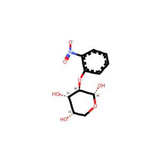 O=[N+]([O-])c1ccccc1O[C@@H]1[C@@H](O)[C@@H](O)CO[C@H]1O